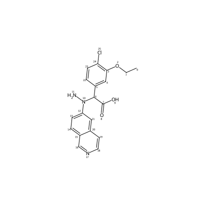 CCOc1cc(C(C(=O)O)N(N)c2ccc3cnccc3c2)ccc1Cl